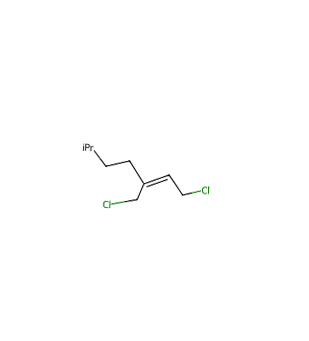 CC(C)CC/C(=C/CCl)CCl